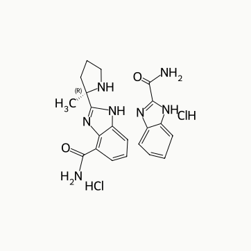 C[C@]1(c2nc3c(C(N)=O)cccc3[nH]2)CCCN1.Cl.Cl.NC(=O)c1nc2ccccc2[nH]1